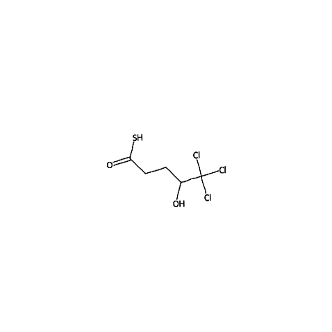 O=C(S)CCC(O)C(Cl)(Cl)Cl